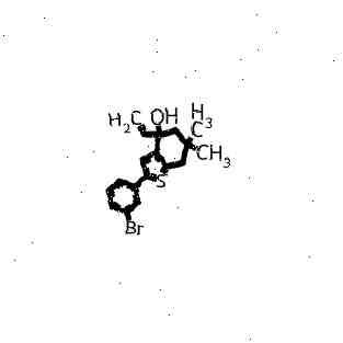 C=CC1(O)CC(C)(C)Cc2sc(-c3cccc(Br)c3)cc21